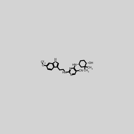 CC1(C)C[C@H](Nc2nc(NCCc3c[nH]c4cc(OC(F)(F)F)ccc34)ncc2C#N)CC[C@@H]1O